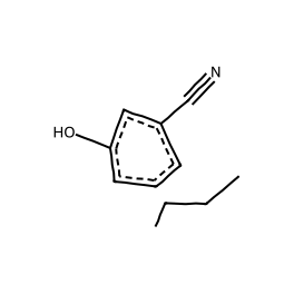 CCCC.N#Cc1cccc(O)c1